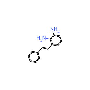 Nc1cccc(C=Cc2ccccc2)c1N